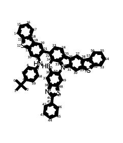 CC(C)(C)c1ccc(Nc2cc3sc4ccccc4c3cc2-c2ccc3c4cc5c(cc4n4c3c2Bc2cc3nc(-c6ccccc6)sc3cc2-4)sc2ccccc25)cc1